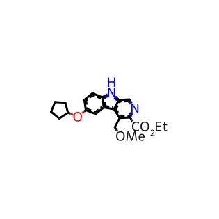 CCOC(=O)c1ncc2[nH]c3ccc(OC4CCCC4)cc3c2c1COC